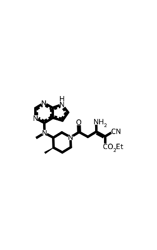 CCOC(=O)/C(C#N)=C(/N)CC(=O)N1CC[C@@H](C)C(N(C)c2ncnc3[nH]ccc23)C1